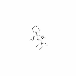 CCC(CC)(CC)CCC(COC)(COC)C1CCCCC1